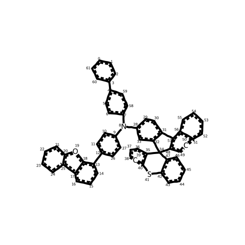 c1ccc(-c2ccc(N(c3ccc(-c4cccc5c4oc4ccccc45)cc3)c3ccc4c(c3)C3(c5ccccc5Sc5ccccc53)c3ccc5ccccc5c3-4)cc2)cc1